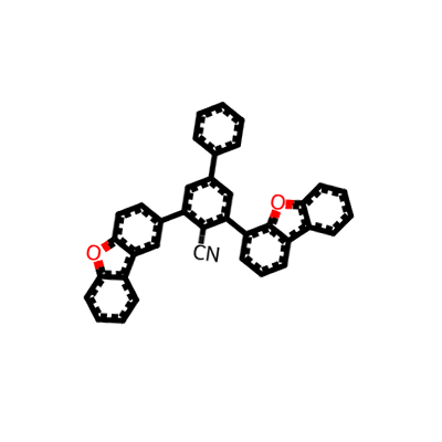 N#Cc1c(-c2ccc3oc4ccccc4c3c2)cc(-c2ccccc2)cc1-c1cccc2c1oc1ccccc12